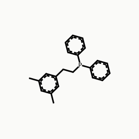 Cc1cc(C)cc(CCP(c2ccccc2)c2ccccc2)c1